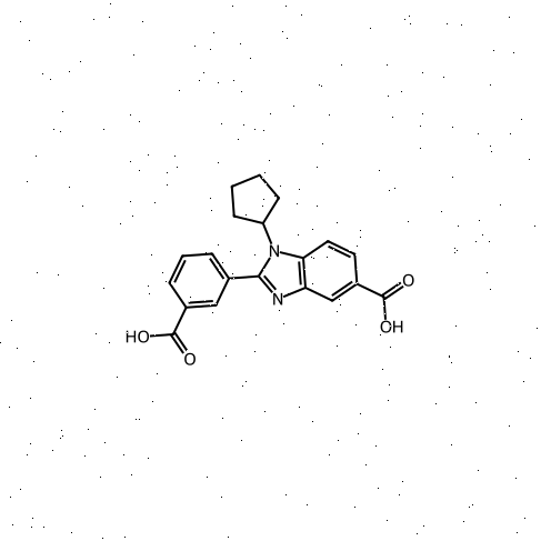 O=C(O)c1cccc(-c2nc3cc(C(=O)O)ccc3n2C2CCCC2)c1